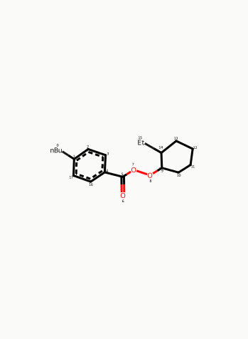 CCCCc1ccc(C(=O)OO[C]2CCCCC2CC)cc1